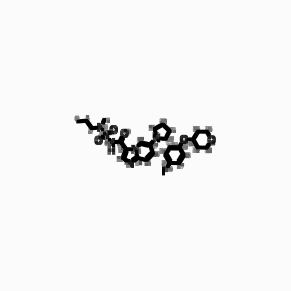 CCCN(C)S(=O)(=O)NC(=O)c1cnc2ccc(N3CCC[C@@H]3c3cc(F)ccc3OC3CCOCC3)cn12